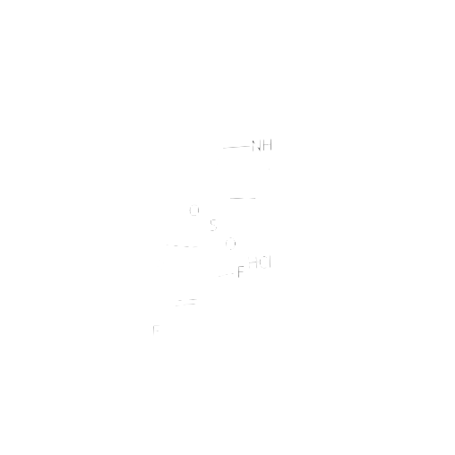 Cl.O=S(=O)(c1ccc(F)cc1F)C1CCNCC1